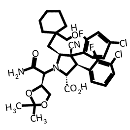 CC1(C)OC[C@H](C(C(N)=O)N2[C@@H](CC3(CO)CCCCC3)[C@](C#N)(c3ccc(Cl)cc3F)[C@@H](c3cccc(Cl)c3F)[C@@H]2C(=O)O)O1